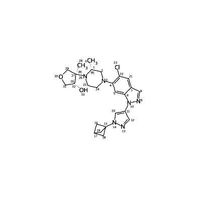 C[C@@H]1CN(c2cc3c(cnn3-c3cnn(C45CC(C4)C5)c3)cc2Cl)CCN1[C@]1(C)COC[C@H]1O